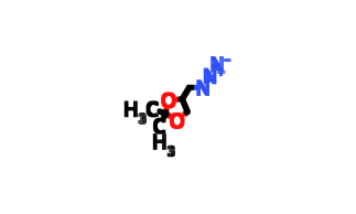 CC1(C)OCC(CN=[N+]=[N-])O1